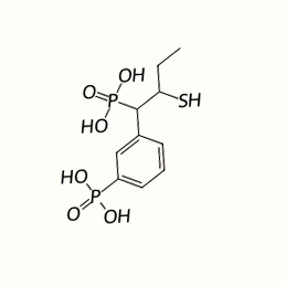 CCC(S)C(c1cccc(P(=O)(O)O)c1)P(=O)(O)O